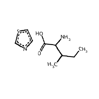 CCC(C)C(N)C(=O)O.c1cscn1